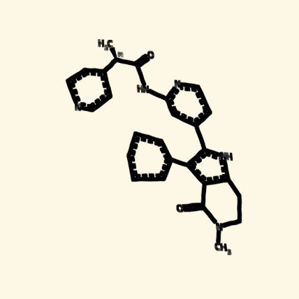 C[C@@H](C(=O)Nc1cc(-c2[nH]c3c(c2-c2ccccc2)C(=O)N(C)CC3)ccn1)c1ccncc1